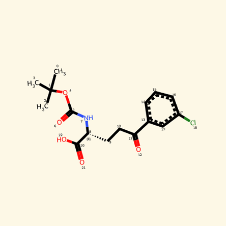 CC(C)(C)OC(=O)N[C@H](CCC(=O)c1cccc(Cl)c1)C(=O)O